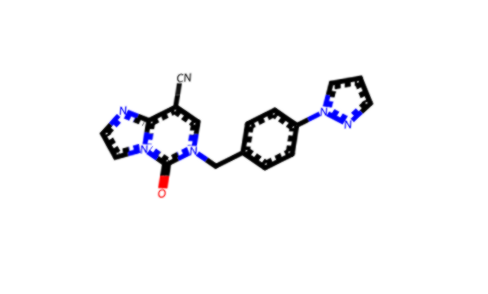 N#Cc1cn(Cc2ccc(-n3cccn3)cc2)c(=O)n2ccnc12